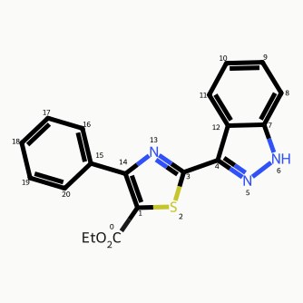 CCOC(=O)c1sc(-c2n[nH]c3ccccc23)nc1-c1ccccc1